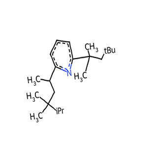 CC(CC(C)(C)C(C)C)c1cccc(C(C)(C)CC(C)(C)C)n1